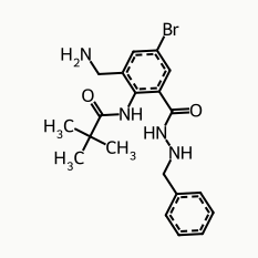 CC(C)(C)C(=O)Nc1c(CN)cc(Br)cc1C(=O)NNCc1ccccc1